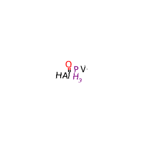 P.[O]=[AlH].[V]